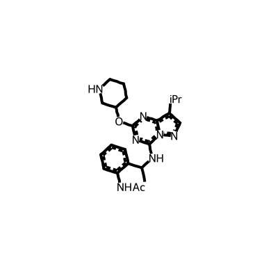 CC(=O)Nc1ccccc1C(C)Nc1nc(OC2CCCNC2)nc2c(C(C)C)cnn12